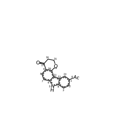 CC(=O)c1ccc2[nH]c3ccc4c(c3c2c1)OCCC4=O